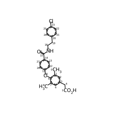 Cc1cc(CC(=O)O)cc(C)c1Oc1ccc(C(=O)NCCc2ccc(Cl)cc2)cc1